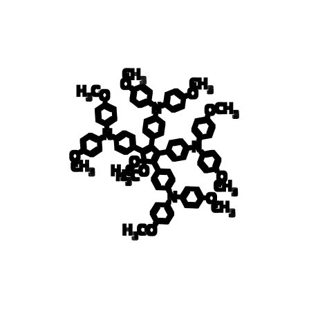 COc1ccc(N(c2ccc(OC)cc2)c2ccc(C3=C(c4ccc(N(c5ccc(OC)cc5)c5ccc(OC)cc5)cc4)C(OC)(OC)C(c4ccc(N(c5ccc(OC)cc5)c5ccc(OC)cc5)cc4)=C3c3ccc(N(c4ccc(OC)cc4)c4ccc(OC)cc4)cc3)cc2)cc1